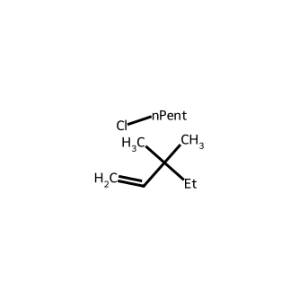 C=CC(C)(C)CC.CCCCCCl